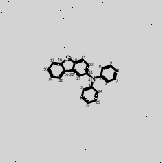 c1ccc(N(c2ccccc2)c2ccc3sc4ccccc4c3c2)cc1